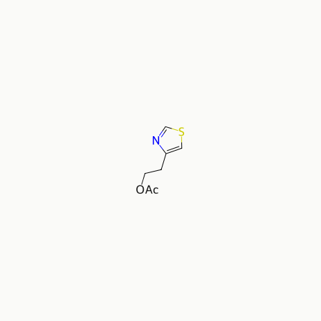 CC(=O)OCCc1cscn1